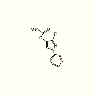 CNC(=O)Oc1cn(-c2cccnc2)nc1Cl